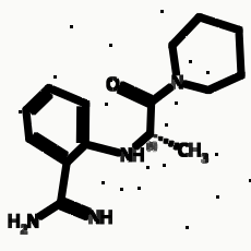 C[C@H](Nc1ccccc1C(=N)N)C(=O)N1CCCCC1